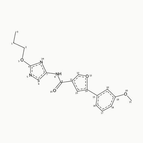 CCCOc1nsc(NC(=O)c2coc(-c3cccc(OC)c3)c2)n1